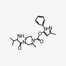 Cc1cc(OC(=O)N2CCN(C(=O)C(N)C(C)C)C[C@@H]2C)n(-c2ccccc2)n1